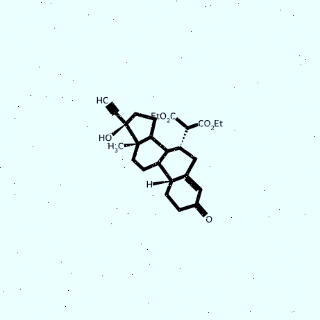 C#C[C@]1(O)CCC2C3C(CC[C@@]21C)[C@H]1CCC(=O)C=C1C[C@H]3C(C(=O)OCC)C(=O)OCC